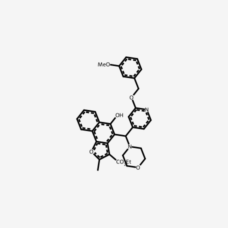 CCOC(=O)c1c(C)oc2c1c(C(c1ccnc(OCc3cccc(OC)c3)c1)N1CCOCC1)c(O)c1ccccc12